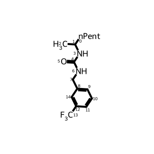 CCCCCC(C)NC(=O)NCc1cccc(C(F)(F)F)c1